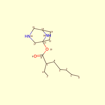 CCCCCC(CC)C(=O)OC12CCC(CNC1)N2